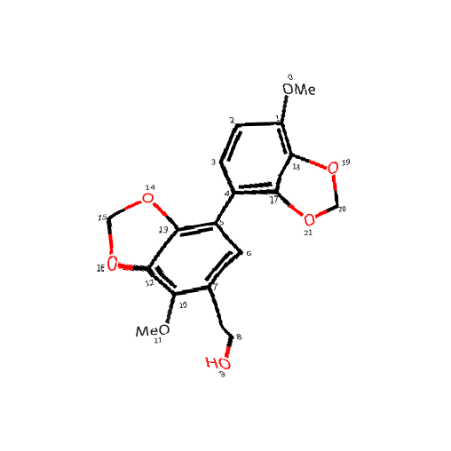 COc1ccc(-c2cc(CO)c(OC)c3c2OCO3)c2c1OCO2